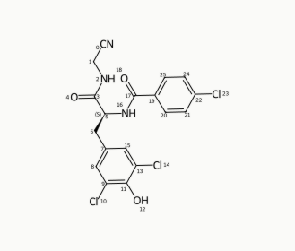 N#CCNC(=O)[C@H](Cc1cc(Cl)c(O)c(Cl)c1)NC(=O)c1ccc(Cl)cc1